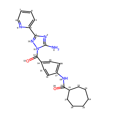 Nc1nc(-c2ccccn2)nn1C(=O)c1ccc(NC(=O)C2CCCCCC2)cc1